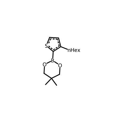 CCCCCCc1ccsc1B1OCC(C)(C)CO1